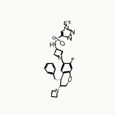 CCn1cc(S(=O)(=O)NC2CN(c3cc4c(cc3F)OC[C@H](N3CCC3)[C@@H]4Cc3ccccc3)C2)nn1